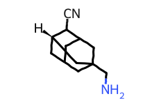 N#CC1C2CC3C[C@H]1CC(CN)(C3)C2